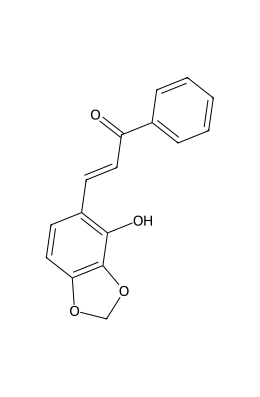 O=C(C=Cc1ccc2c(c1O)OCO2)c1ccccc1